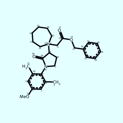 COc1cc(C)c(N2CCC([N+]3(CC(=O)OCc4ccccc4)CCCCCC3)C2=O)c(C)c1